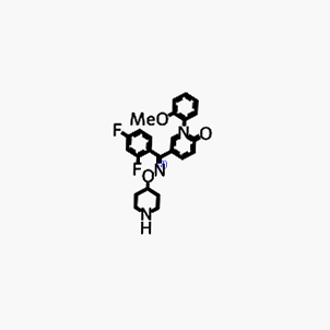 COc1ccccc1-n1cc(/C(=N/OC2CCNCC2)c2ccc(F)cc2F)ccc1=O